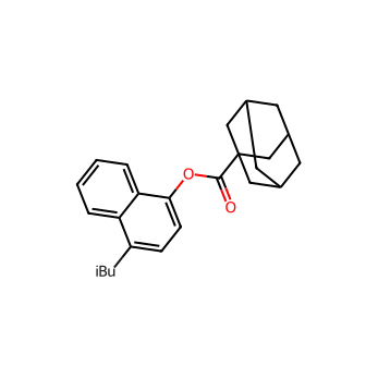 CCC(C)c1ccc(OC(=O)C23CC4CC(CC(C4)C2)C3)c2ccccc12